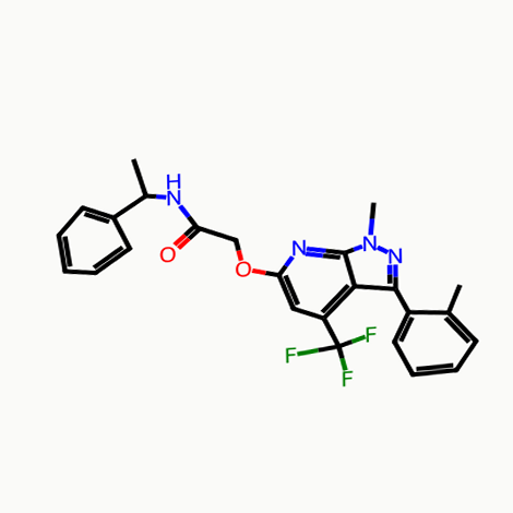 Cc1ccccc1-c1nn(C)c2nc(OCC(=O)NC(C)c3ccccc3)cc(C(F)(F)F)c12